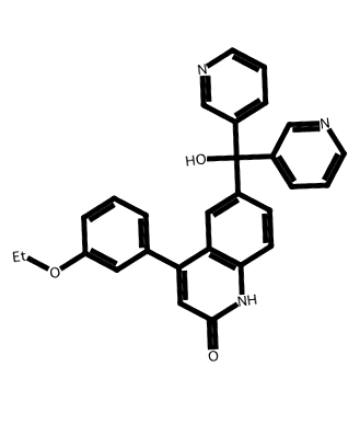 CCOc1cccc(-c2cc(=O)[nH]c3ccc(C(O)(c4cccnc4)c4cccnc4)cc23)c1